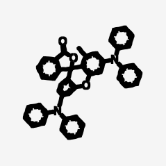 Cc1cc(N(c2ccccc2)c2ccccc2)cc2c1C1(OC(=O)c3ccccc31)c1ccc(N(c3ccccc3)c3ccccc3)cc1O2